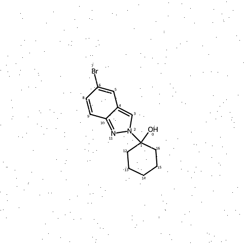 OC1(n2cc3cc(Br)ccc3n2)CCCCC1